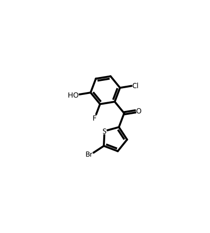 O=C(c1ccc(Br)s1)c1c(Cl)ccc(O)c1F